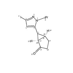 CC(C)n1nc(I)cc1C1[C@H]2CCC(=O)[C@@H]12